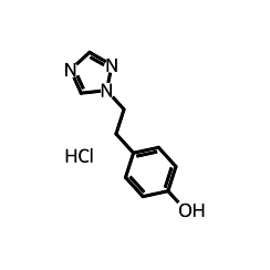 Cl.Oc1ccc(CCn2cncn2)cc1